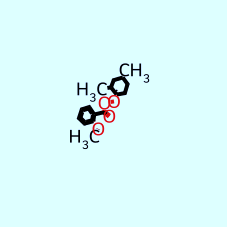 COc1ccccc1C(=O)OO[C]1CCC(C)CC1C